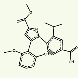 COC(=O)c1cc(-c2c(O)cccc2OC)n(-c2c#cc(C(=O)O)cc2C(C)C)n1